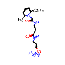 CC1CCCC(C)N1CC(=O)NCCC(=O)NCCCON